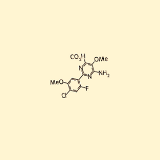 COc1cc(-c2nc(N)c(OC)c(C(=O)O)n2)c(F)cc1Cl